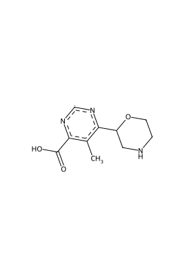 Cc1c(C(=O)O)n[c]nc1C1CNCCO1